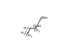 CCCCCCCCCCCCCCCCNC(=O)C=C(C)CCC=C(C)CCC=C(C)C